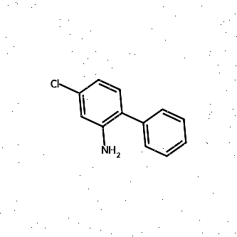 Nc1cc(Cl)ccc1-c1ccccc1